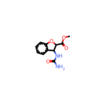 COC(=O)C1Oc2ccccc2C1NC(N)=O